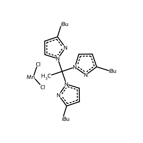 CCC(C)c1ccn(C(C)(n2ccc(C(C)CC)n2)n2ccc(C(C)CC)n2)n1.[Cl][Mn][Cl]